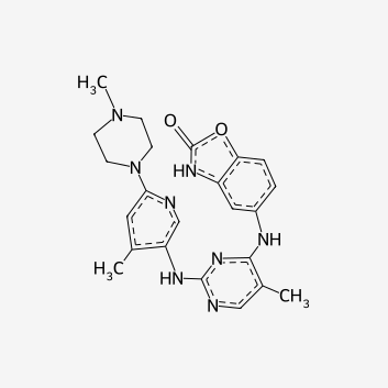 Cc1cc(N2CCN(C)CC2)ncc1Nc1ncc(C)c(Nc2ccc3oc(=O)[nH]c3c2)n1